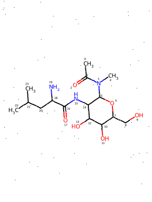 CC(=O)N(C)C1OC(CO)C(O)C(O)C1NC(=O)C(N)CC(C)C